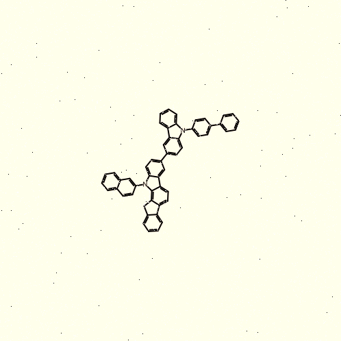 c1ccc(-c2ccc(-n3c4ccccc4c4cc(-c5ccc6c(c5)c5ccc7c(c5n6-c5ccc6ccccc6c5)Cc5ccccc5-7)ccc43)cc2)cc1